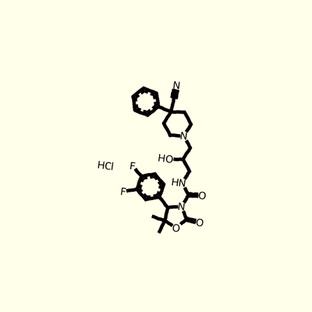 CC1(C)OC(=O)N(C(=O)NCC(O)CN2CCC(C#N)(c3ccccc3)CC2)C1c1ccc(F)c(F)c1.Cl